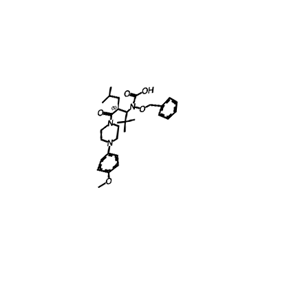 COc1ccc(N2CCN(C(=O)[C@@H](CC(C)C)C(N(OCc3ccccc3)C(=O)O)C(C)(C)C)CC2)cc1